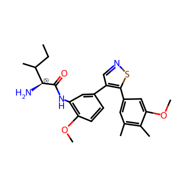 CCC(C)[C@H](N)C(=O)Nc1cc(-c2cnsc2-c2cc(C)c(C)c(OC)c2)ccc1OC